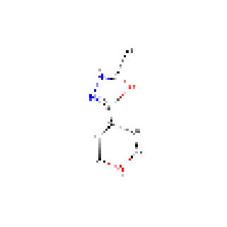 Cc1nnc(C2CCOCC2)o1